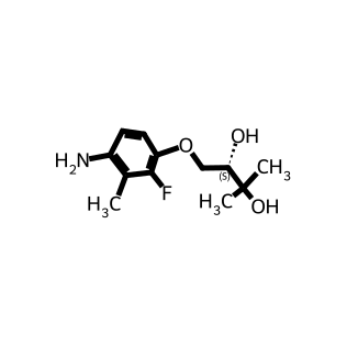 Cc1c(N)ccc(OC[C@H](O)C(C)(C)O)c1F